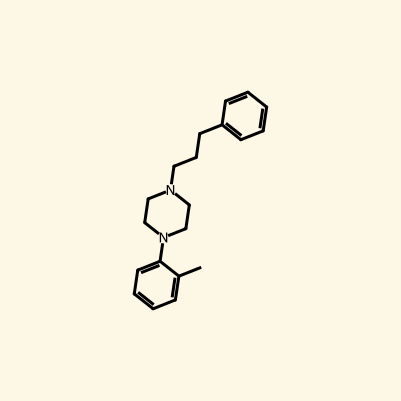 Cc1ccccc1N1CCN(CCCc2ccccc2)CC1